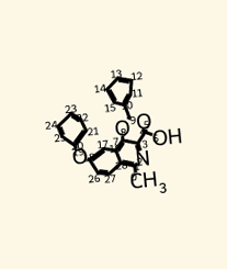 Cc1nc(C(=O)O)c(OCc2ccccc2)c2cc(Oc3ccccc3)ccc12